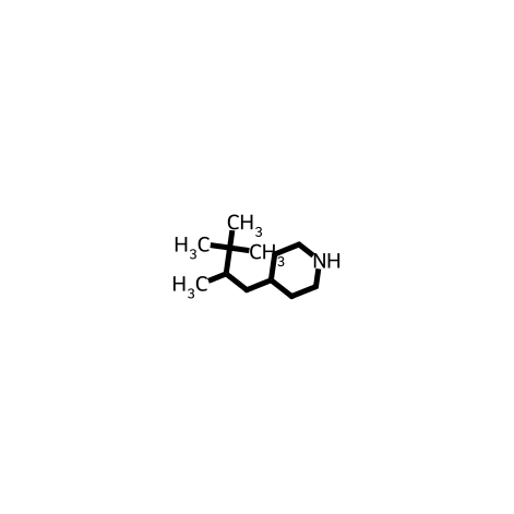 CC(CC1CCNCC1)C(C)(C)C